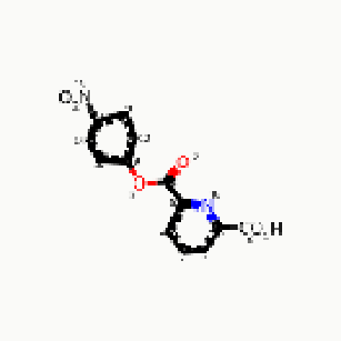 O=C(O)c1cccc(C(=O)Oc2ccc([N+](=O)[O-])cc2)n1